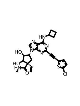 C=C[C@]1(C(=O)NC)C[C@@H](n2cnc3c(NC4CCC4)nc(C#Cc4ccc(Cl)s4)nc32)C(O)C1O